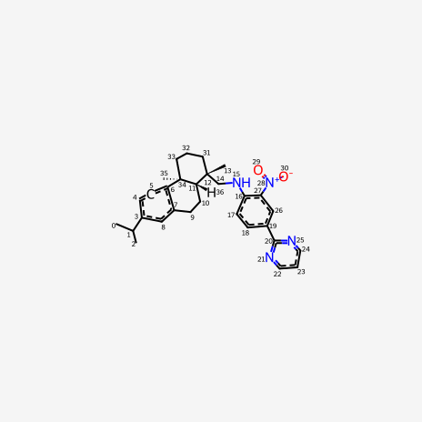 CC(C)c1ccc2c(c1)CC[C@H]1[C@@](C)(CNc3ccc(-c4ncccn4)cc3[N+](=O)[O-])CCC[C@]21C